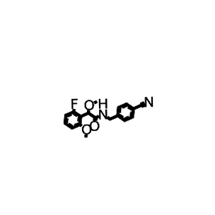 COc1cccc(F)c1C(OC)C(=O)NCc1ccc(C#N)cc1